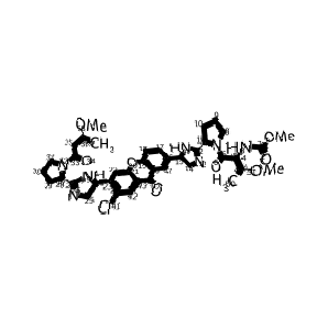 COC(=O)N[C@H](C(=O)N1CCC[C@H]1C1=NCC(c2ccc3oc4cc(C5CN=C([C@@H]6CCCN6C(=O)C[C@@H](C)OC)N5)c(Cl)cc4c(=O)c3c2)N1)[C@@H](C)OC